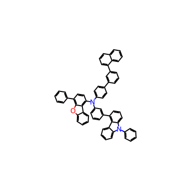 c1ccc(-c2ccc(N(c3ccc(-c4cccc(-c5cccc6ccccc56)c4)cc3)c3cccc(-c4cccc5c4c4ccccc4n5-c4ccccc4)c3)c3c2oc2ccccc23)cc1